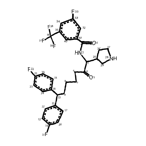 O=C(NC(C(=O)CCCCC(c1ccc(F)cc1)c1ccc(F)cc1)C1CCNC1)c1cc(F)cc(C(F)(F)F)c1